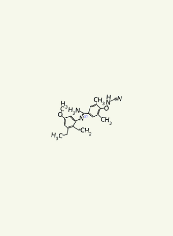 C=Cc1c(CC)cc(OC)cc1/N=C(\N)c1cc(C)c(ONC#N)c(C)c1